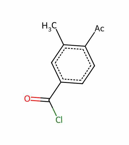 CC(=O)c1ccc(C(=O)Cl)cc1C